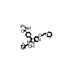 CC(C)NC(=O)[C@H]1CC[C@@H]([C@H]2/C(=N/C(=O)c3cncs3)Nc3cnc(OCCN4CCCCC4)cc32)CC1